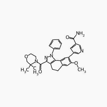 COc1cc2c(cc1-c1cncc(C(N)=O)c1)-c1c(c(C(=O)N3CCOCC3(C)C)nn1-c1ccccc1)CC2